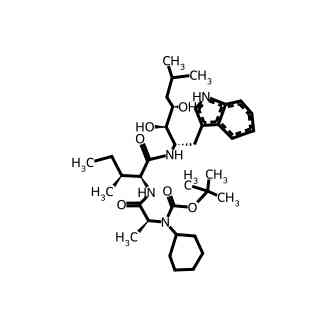 CC[C@H](C)[C@H](NC(=O)[C@H](C)N(C(=O)OC(C)(C)C)C1CCCCC1)C(=O)N[C@@H](Cc1c[nH]c2ccccc12)[C@@H](O)[C@@H](O)CC(C)C